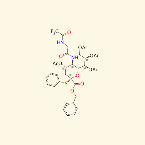 CC(=O)OC[C@@H](OC(C)=O)[C@@H](OC(C)=O)C1O[C@](Sc2ccccc2)(C(=O)OCc2ccccc2)C[C@H](OC(C)=O)[C@H]1NC(=O)CNC(=O)C(F)(F)F